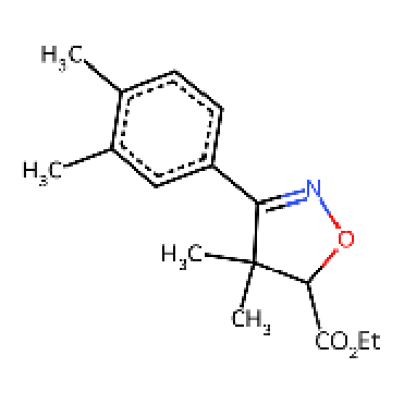 CCOC(=O)C1ON=C(c2ccc(C)c(C)c2)C1(C)C